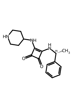 C[C@@H](Nc1c(NC2CCNCC2)c(=O)c1=O)c1ccccc1